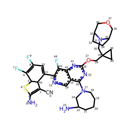 N#CC1=C(N)SC2C(F)=C(F)C=C(c3ncc4c(N5CCCCC(N)C5)nc(OCC5(CN6C7CCC6COC7)CC5)nc4c3F)C12